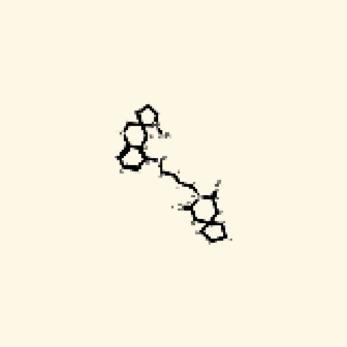 CCCN1CCCC12COc1cccc(OCCCCN3C(=O)CC4(CCCC4)CC3=O)c1C2